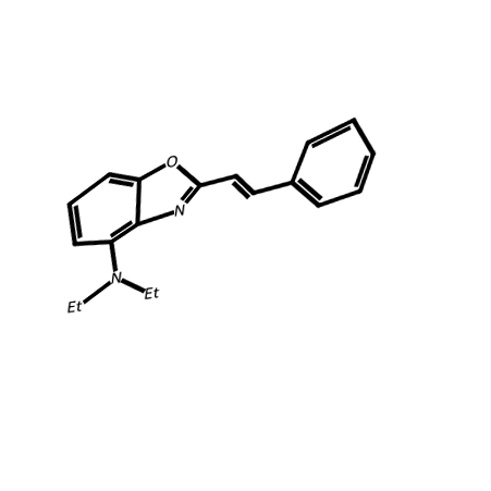 CCN(CC)c1cccc2oc(C=Cc3ccccc3)nc12